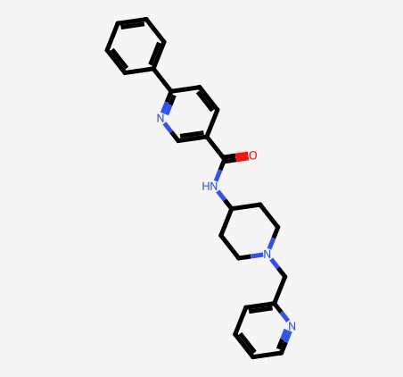 O=C(NC1CCN(Cc2ccccn2)CC1)c1ccc(-c2ccccc2)nc1